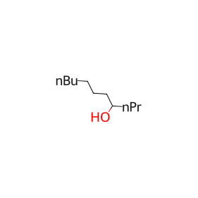 CCCCCCCC(O)CCC